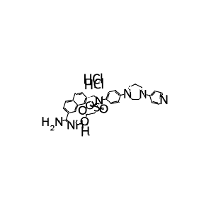 Cl.Cl.N=C(N)c1ccc2ccc(CN(c3ccc(N4CCCN(c5ccncc5)CC4)cc3)S(=O)(=O)CC(=O)O)cc2c1